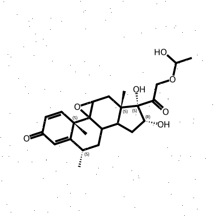 CC(O)OCC(=O)[C@@]1(O)[C@H](O)CC2C3C[C@H](C)C4=CC(=O)C=C[C@]4(C)C34OC4C[C@@]21C